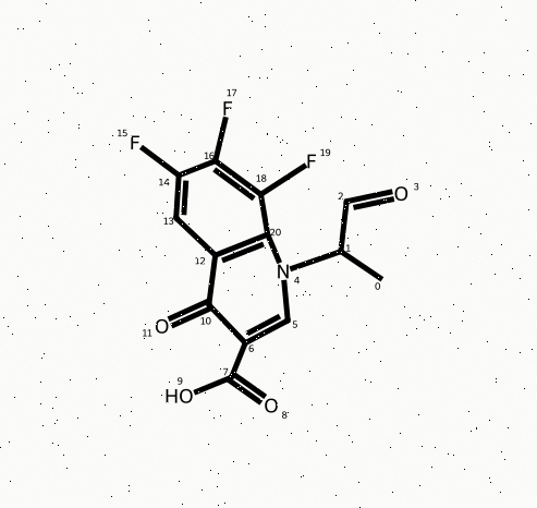 CC(C=O)n1cc(C(=O)O)c(=O)c2cc(F)c(F)c(F)c21